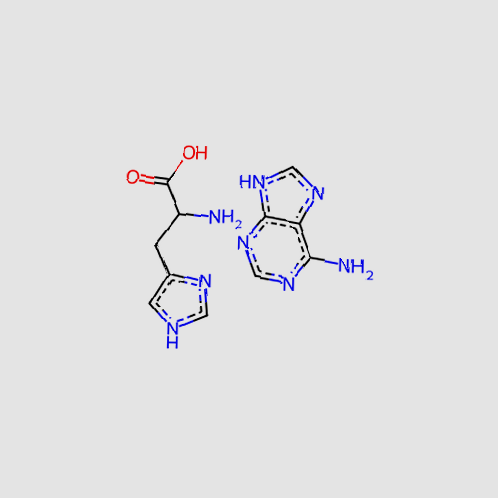 NC(Cc1c[nH]cn1)C(=O)O.Nc1ncnc2[nH]cnc12